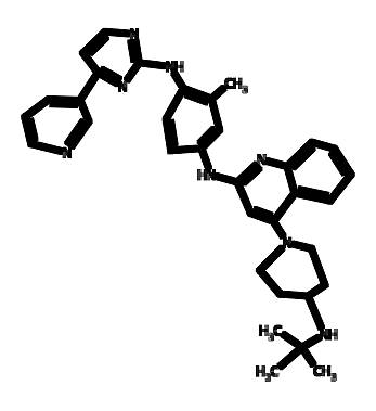 Cc1cc(Nc2cc(N3CCC(NC(C)(C)C)CC3)c3ccccc3n2)ccc1Nc1nccc(-c2cccnc2)n1